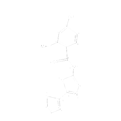 COc1cc(O)ccc1C(=O)Nc1nnc(-c2cccs2)o1